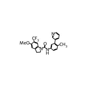 COc1cc2c(cc1C(F)(F)F)N(C(=O)Nc1ccc(C)c(-c3cccnc3)c1)CC2